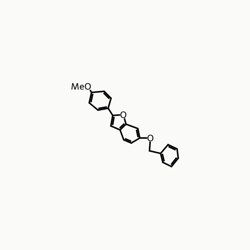 COc1ccc(-c2cc3ccc(OCc4ccccc4)cc3o2)cc1